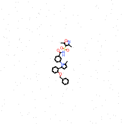 Cc1noc(C)c1S(=O)(=O)NC(=O)c1cccc(-n2c(C)ccc2-c2ccccc2OCc2ccccc2)c1